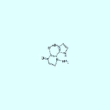 CCCCOc1c(-c2ncc[nH]2)n(N)ccc1=O